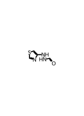 O=CNNc1cscn1